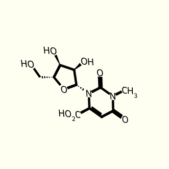 Cn1c(=O)cc(C(=O)O)n([C@@H]2O[C@H](CO)[C@@H](O)[C@H]2O)c1=O